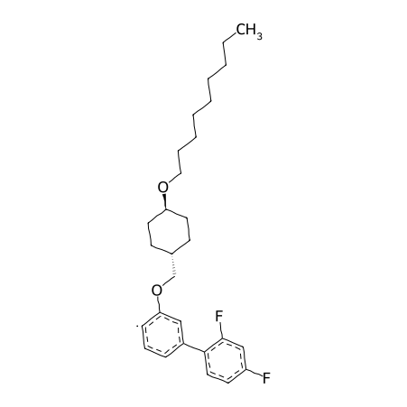 CCCCCCCCCO[C@H]1CC[C@H](COc2[c]ccc(-c3ccc(F)cc3F)c2)CC1